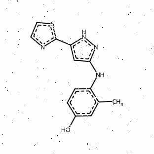 Cc1cc(O)ccc1Nc1cc(-c2nccs2)[nH]n1